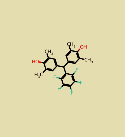 Cc1cc(C(c2cc(C)c(O)c(C)c2)c2c(F)c(F)c(F)c(F)c2F)cc(C)c1O